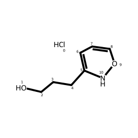 Cl.OCCCC1=CC=CON1